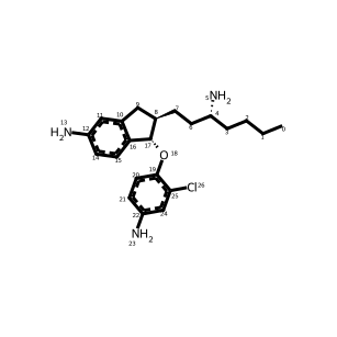 CCCC[C@@H](N)CC[C@@H]1Cc2cc(N)ccc2[C@H]1Oc1ccc(N)cc1Cl